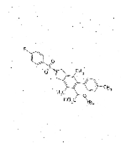 Cc1ccc(-c2c(C)c3c(c(C)c2C(OC(C)(C)C)C(=O)O)CN(S(=O)(=O)c2ccc(F)cc2)C3)cc1